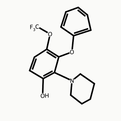 Oc1ccc(OC(F)(F)F)c(Oc2ccccc2)c1N1CCCCC1